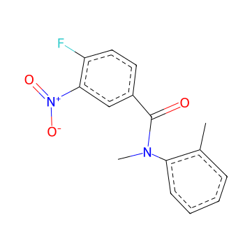 Cc1ccccc1N(C)C(=O)c1ccc(F)c([N+](=O)[O-])c1